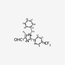 Cc1c(C=O)nc(-c2ccc(C(F)(F)F)cc2)n1Cc1ccccc1